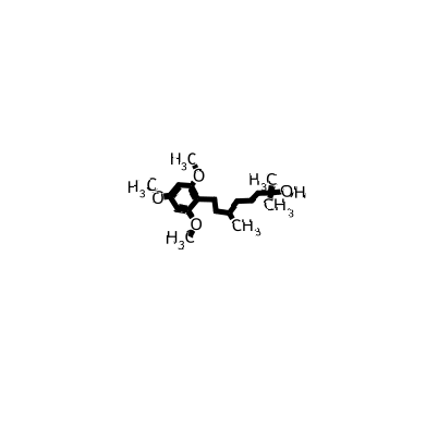 COc1cc(OC)c(CCC(C)CCCC(C)(C)O)c(OC)c1